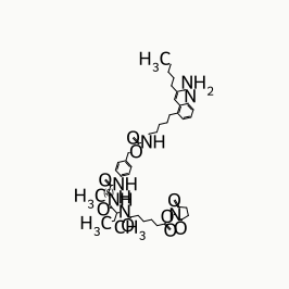 CCCCCc1cc2c(CCCCCNC(=O)OCc3ccc(NC(=O)[C@H](C)NC(=O)C(NC(=O)CCCCC(=O)ON4C(=O)CCC4=O)C(C)C)cc3)cccc2nc1N